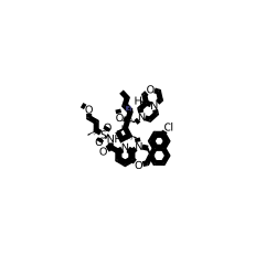 CC/C=C/[C@](CN1CCN2CCOC[C@@H]2C1)(OC)[C@@H]1CC[C@H]1CN1C[C@@]2(CCCc3cc(Cl)ccc32)COc2ccc(C(=O)NS(=O)(=O)[C@H](C)CCOC)nc21